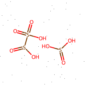 O=S(O)O.O=S(O)S(=O)(=O)O